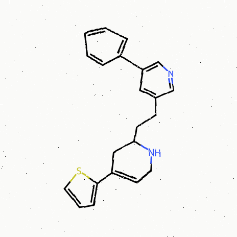 C1=C(c2cccs2)CC(CCc2cncc(-c3ccccc3)c2)NC1